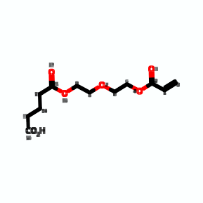 C=CC(=O)OCCOCCOC(=O)CCCC(=O)O